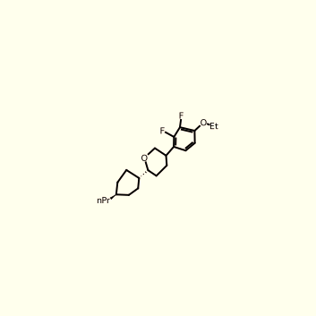 CCC[C@H]1CC[C@H](C2CCC(c3ccc(OCC)c(F)c3F)CO2)CC1